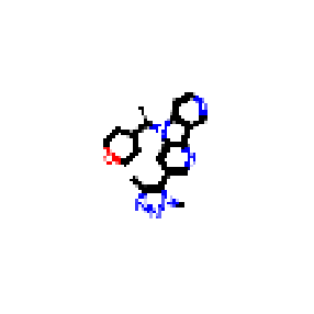 Cc1nnn(C)c1-c1cnc2c3cnccc3n([C@H](C)C3CCOCC3)c2c1